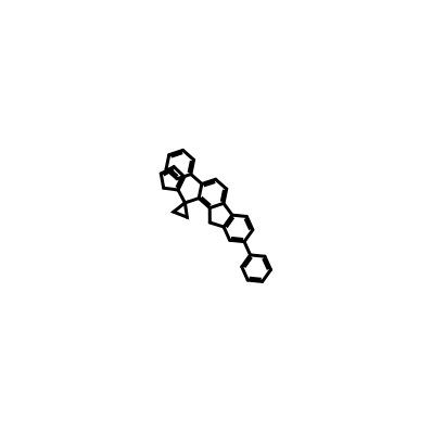 C1=CCC(C2(c3c(-c4ccccc4)ccc4c3Cc3cc(-c5ccccc5)ccc3-4)CC2)=C1